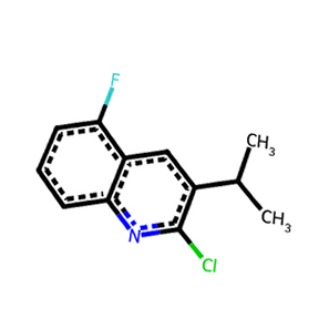 CC(C)c1cc2c(F)cccc2nc1Cl